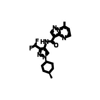 Cc1ccnc2c(C(=O)Nc3cn([C@H]4CC[C@H](C)CC4)nc3C(F)F)cnn12